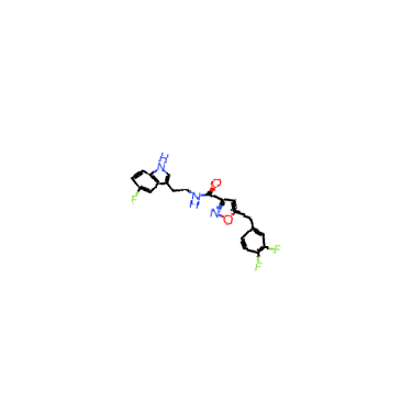 O=C(NCCc1c[nH]c2ccc(F)cc12)c1cc(Cc2ccc(F)c(F)c2)on1